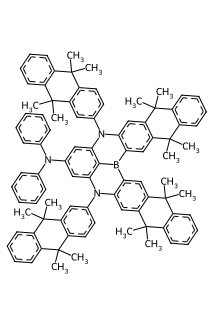 CC1(C)c2ccccc2C(C)(C)c2cc(N3c4cc5c(cc4B4c6cc7c(cc6N(c6ccc8c(c6)C(C)(C)c6ccccc6C8(C)C)c6cc(N(c8ccccc8)c8ccccc8)cc3c64)C(C)(C)c3ccccc3C7(C)C)C(C)(C)c3ccccc3C5(C)C)ccc21